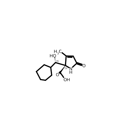 CC1=CC(=O)N[C@]1(C(=O)O)[C@@H](O)C1CCCCC1